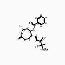 CCCCC(F)(F)C(=O)/C=C/[C@@H]1CCC(=O)O[C@H](C)C[C@H]1OC(=O)c1ccccc1